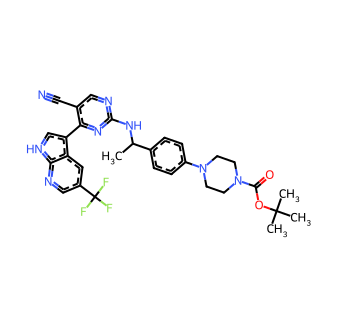 CC(Nc1ncc(C#N)c(-c2c[nH]c3ncc(C(F)(F)F)cc23)n1)c1ccc(N2CCN(C(=O)OC(C)(C)C)CC2)cc1